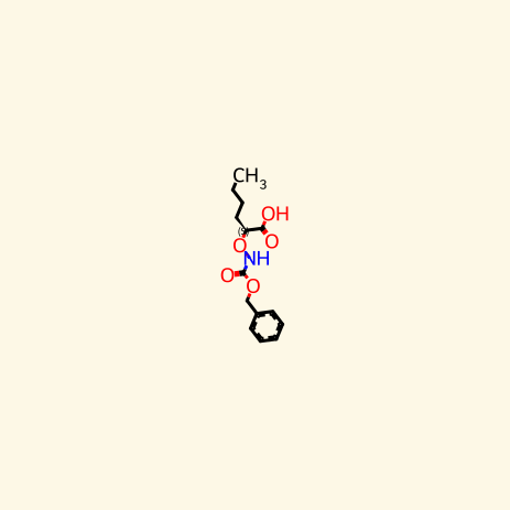 CCCC[C@H](ONC(=O)OCc1ccccc1)C(=O)O